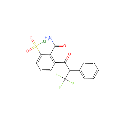 NC(=O)c1c(C(=O)C(c2ccccc2)C(F)(F)F)cccc1S(=O)(=O)Cl